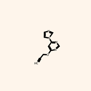 C#CCOc1cc(-n2ccnc2)ncn1